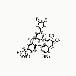 CCCCCNS(=O)(=O)c1ccc(Oc2cc(C(C)(C)C)cc3cc(C#N)c(C#N)c(-c4cc(C5CC(F)C(F)C5)cc(C(F)(F)F)c4)c23)cc1